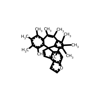 CC1=C(C)c2c(C)c(C)c(C)c(C)c2C2(C=Cc3c2ccc2occc32)c2c(C)c(C)c(C)c(C)c21